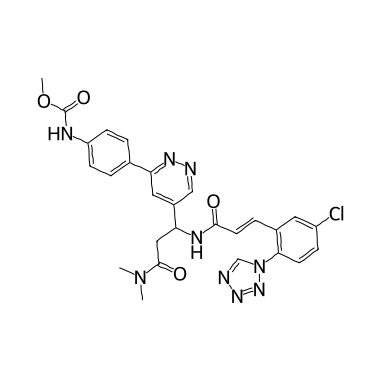 COC(=O)Nc1ccc(-c2cc(C(CC(=O)N(C)C)NC(=O)C=Cc3cc(Cl)ccc3-n3cnnn3)cnn2)cc1